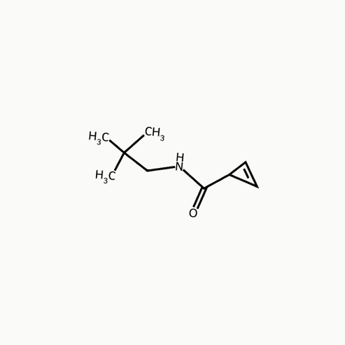 CC(C)(C)CNC(=O)C1C=C1